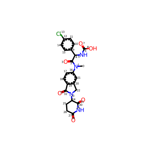 CN(C(=O)C(NC(=O)O)c1ccc(Cl)cc1)c1ccc2c(c1)CN(C1CCC(=O)NC1=O)C2=O